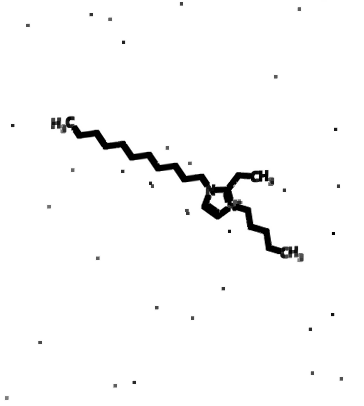 CCCCCCCCCCCn1cc[n+](CCCCC)c1CC